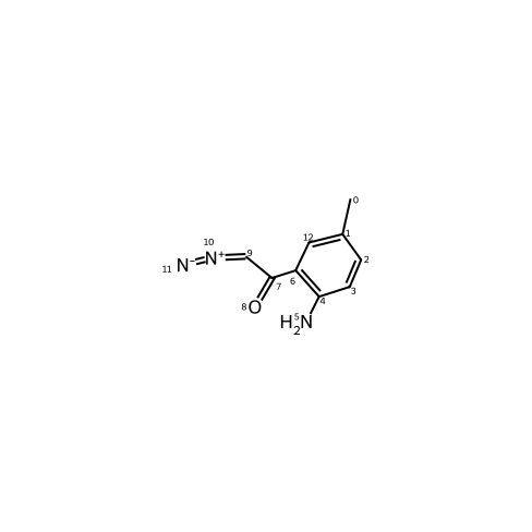 Cc1ccc(N)c(C(=O)C=[N+]=[N-])c1